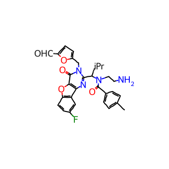 Cc1ccc(C(=O)N(CCN)C(c2nc3c(oc4ccc(F)cc43)c(=O)n2Cc2ccc(C=O)o2)C(C)C)cc1